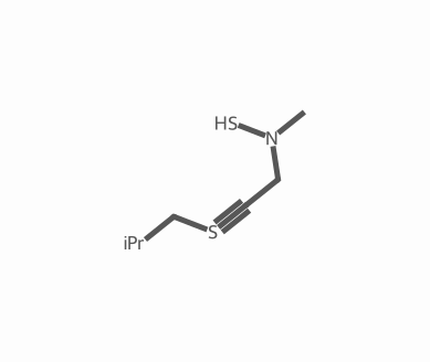 CC(C)CS#CCN(C)S